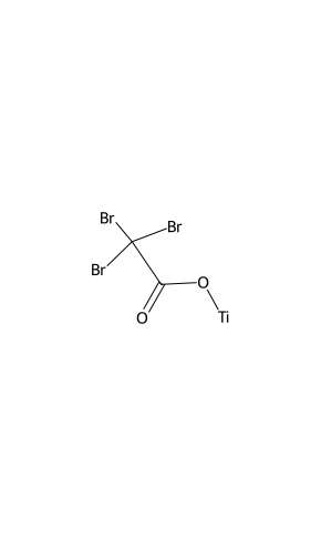 O=C([O][Ti])C(Br)(Br)Br